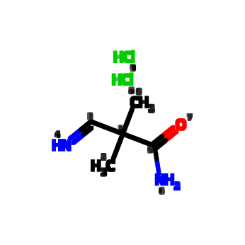 CC(C)(C=N)C(N)=O.Cl.Cl